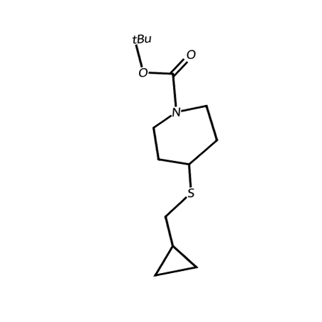 CC(C)(C)OC(=O)N1CCC(SCC2CC2)CC1